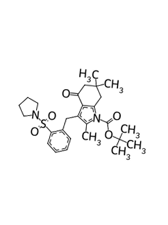 Cc1c(Cc2ccccc2S(=O)(=O)N2CCCC2)c2c(n1C(=O)OC(C)(C)C)CC(C)(C)CC2=O